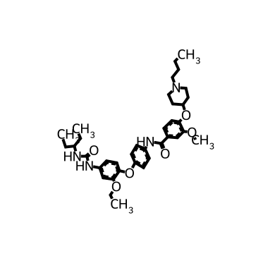 CCCCN1CCC(Oc2ccc(C(=O)Nc3ccc(Oc4ccc(NC(=O)NC(CC)CC)cc4OCC)cc3)cc2OC)CC1